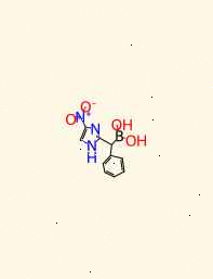 O=[N+]([O-])c1c[nH]c(C(B(O)O)c2ccccc2)n1